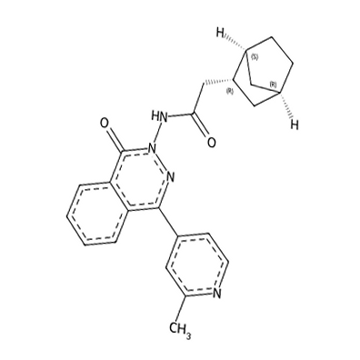 Cc1cc(-c2nn(NC(=O)C[C@H]3C[C@@H]4CC[C@H]3C4)c(=O)c3ccccc23)ccn1